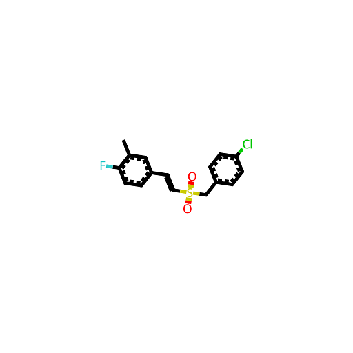 Cc1cc(C=CS(=O)(=O)Cc2ccc(Cl)cc2)ccc1F